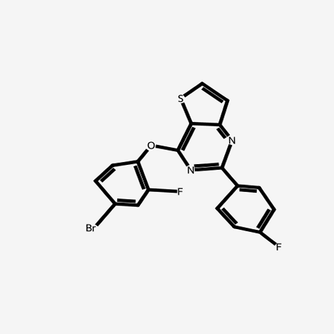 Fc1ccc(-c2nc(Oc3ccc(Br)cc3F)c3sccc3n2)cc1